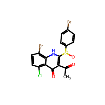 CC(=O)c1c([S+]([O-])c2ccc(Br)cc2)[nH]c2c(Br)ccc(Cl)c2c1=O